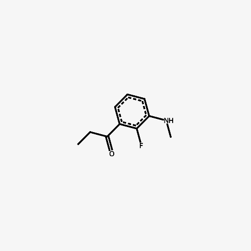 CCC(=O)c1cccc(NC)c1F